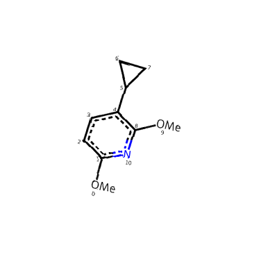 COc1ccc(C2CC2)c(OC)n1